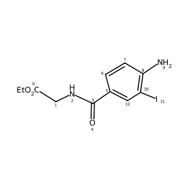 CCOC(=O)CNC(=O)c1ccc(N)c(I)c1